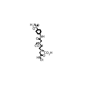 CCNC(=O)CN(CCN(CC(=O)O)CC(=O)Nc1ccc(S(N)(=O)=O)cc1)CC(=O)O